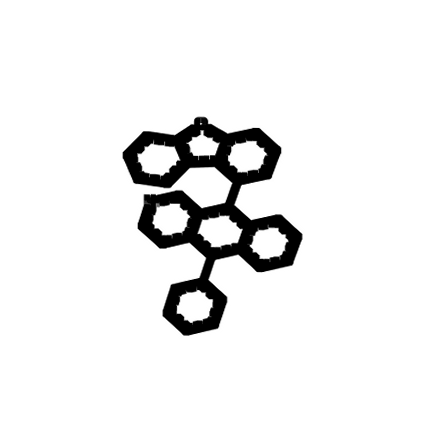 c1ccc(-c2c3ccccc3c(-c3cccc4oc5ccccc5c34)c3cnccc23)cc1